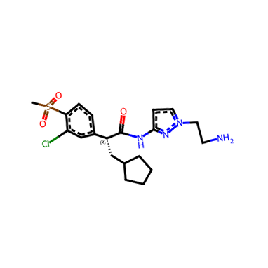 CS(=O)(=O)c1ccc([C@@H](CC2CCCC2)C(=O)Nc2ccn(CCN)n2)cc1Cl